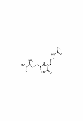 CC(=O)NCCC[C@H](NC(=O)CC[C@H](N)C(=O)O)C(=O)O